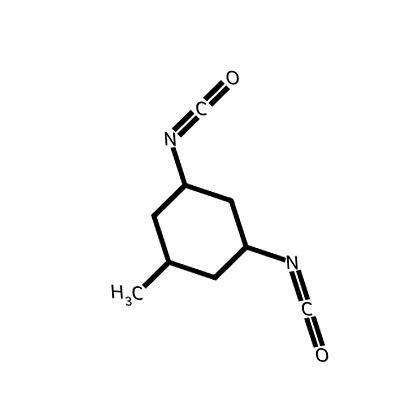 CC1CC(N=C=O)CC(N=C=O)C1